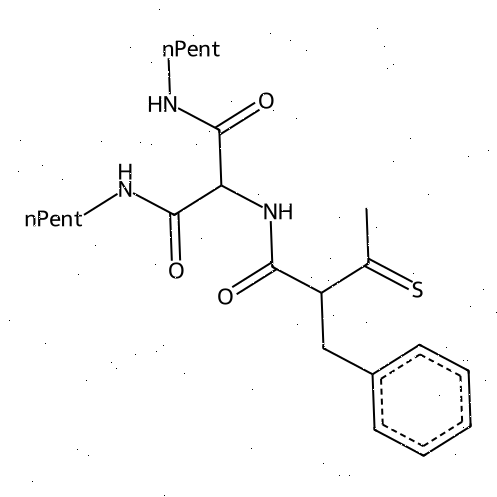 CCCCCNC(=O)C(NC(=O)C(Cc1ccccc1)C(C)=S)C(=O)NCCCCC